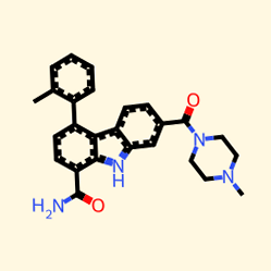 Cc1ccccc1-c1ccc(C(N)=O)c2[nH]c3cc(C(=O)N4CCN(C)CC4)ccc3c12